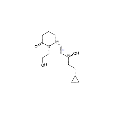 O=C1CCC[C@H](/C=C/[C@@H](O)CCC2CC2)N1CCO